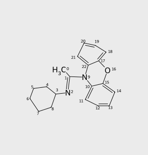 CC(=NC1CCCCC1)N1c2ccccc2Oc2ccccc21